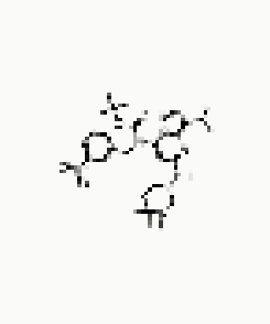 CC(C)c1cnn2c(N(Cc3cccc([N+](=O)[O-])c3)C(=O)OC(C)(C)C)cc(N[C@H]3CCC(C)(C)NC3)nc12